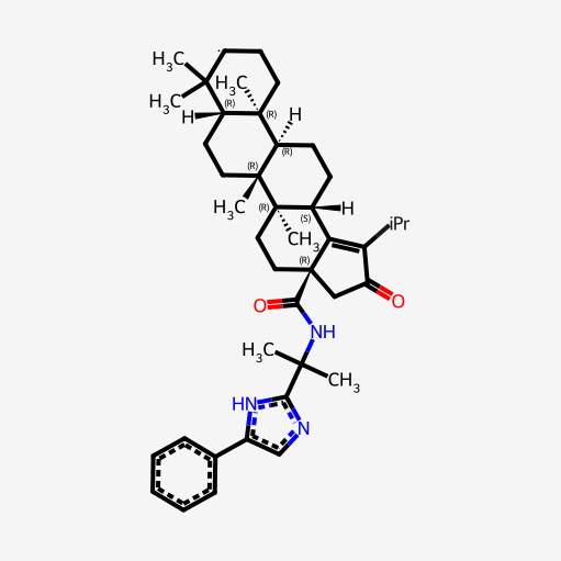 CC(C)C1=C2[C@H]3CC[C@@H]4[C@]5(C)CC[CH]C(C)(C)[C@H]5CC[C@@]4(C)[C@]3(C)CC[C@@]2(C(=O)NC(C)(C)c2ncc(-c3ccccc3)[nH]2)CC1=O